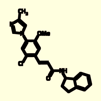 COc1cc(/C=C/C(=O)NC2CCc3ccccc32)c(Cl)cc1-n1cnc(C)c1